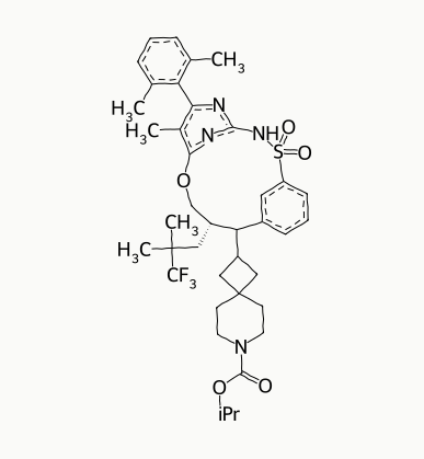 Cc1cccc(C)c1-c1nc2nc(c1C)OC[C@@H](CC(C)(C)C(F)(F)F)C(C1CC3(CCN(C(=O)OC(C)C)CC3)C1)c1cccc(c1)S(=O)(=O)N2